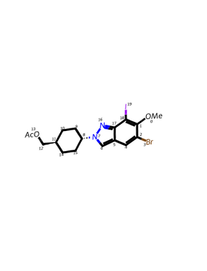 COc1c(Br)cc2cn([C@H]3CC[C@H](COC(C)=O)CC3)nc2c1I